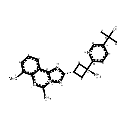 COc1cccc2c1nc(N)n1nc([C@H]3C[C@@](N)(c4ccc(C(C)(C)O)cn4)C3)nc21